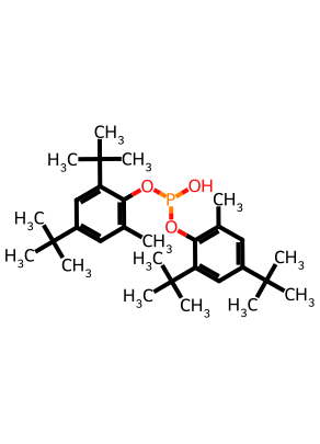 Cc1cc(C(C)(C)C)cc(C(C)(C)C)c1OP(O)Oc1c(C)cc(C(C)(C)C)cc1C(C)(C)C